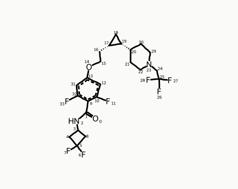 O=C(NC1CC(F)(F)C1)c1c(F)cc(OCC[C@@H]2C[C@@H]2C2CCN(CC(F)(F)F)CC2)cc1F